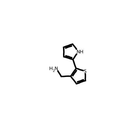 NCc1ccsc1-c1ccc[nH]1